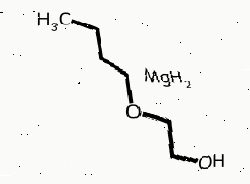 CCCCOCCO.[MgH2]